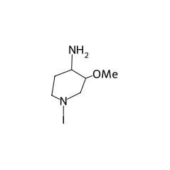 COC1CN(I)CCC1N